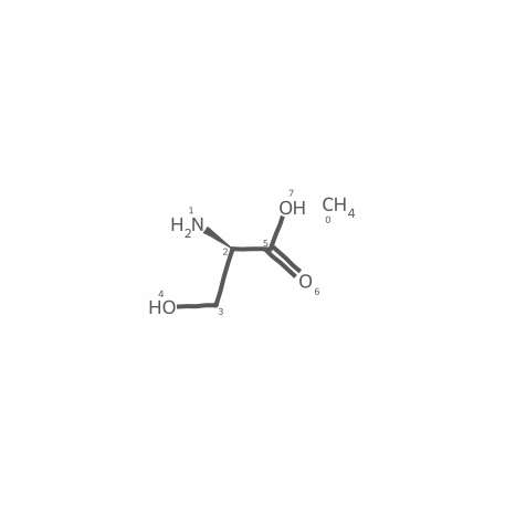 C.N[C@H](CO)C(=O)O